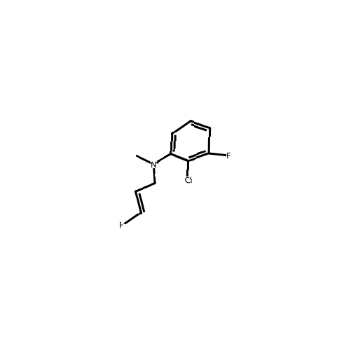 CN(CC=CF)c1cccc(F)c1Cl